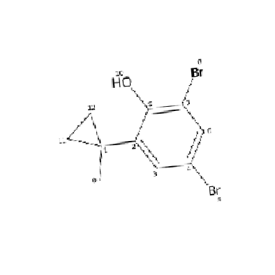 CC1(c2cc(Br)cc(Br)c2O)CC1